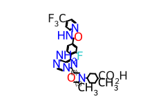 C[C@H]1CO[C@@H](c2nc(-c3ccc(C(=O)Nc4cc(C(F)(F)F)ccn4)cc3F)c3c(N)nccn23)CN1C1CCC(C)(C(=O)O)CC1